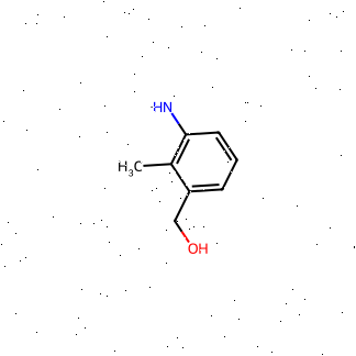 Cc1c([NH])cccc1CO